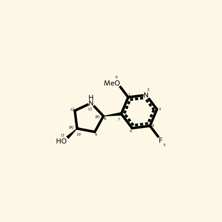 COc1ncc(F)cc1[C@H]1C[C@@H](O)CN1